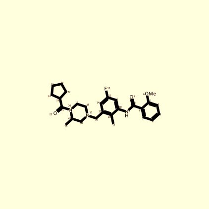 COc1ccccc1C(=O)Nc1cc(F)cc(CN2CCN(C(=O)C3CCCC3)C(C)C2)c1C